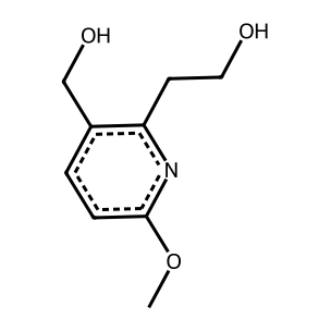 COc1ccc(CO)c(CCO)n1